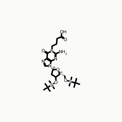 CC(C)(C)[Si](C)(C)OC[C@H]1O[C@@H](n2cnc3c(=O)n(CCCC(=O)O)c(N)nc32)CC1O[Si](C)(C)C(C)(C)C